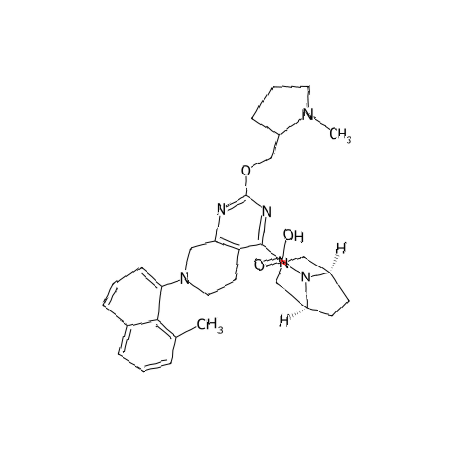 Cc1cccc2cccc(N3CCc4c(nc(OCC5CCCN5C)nc4N4C[C@H]5CC[C@@H](C4)N5C(=O)O)C3)c12